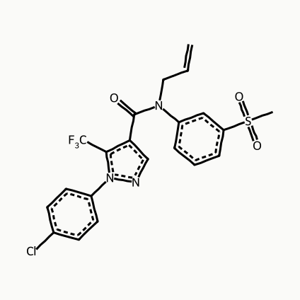 C=CCN(C(=O)c1cnn(-c2ccc(Cl)cc2)c1C(F)(F)F)c1cccc(S(C)(=O)=O)c1